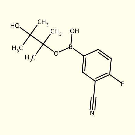 CC(C)(O)C(C)(C)OB(O)c1ccc(F)c(C#N)c1